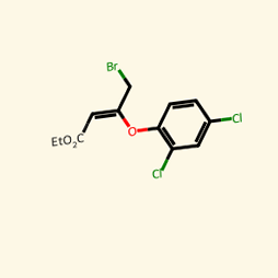 CCOC(=O)/C=C(/CBr)Oc1ccc(Cl)cc1Cl